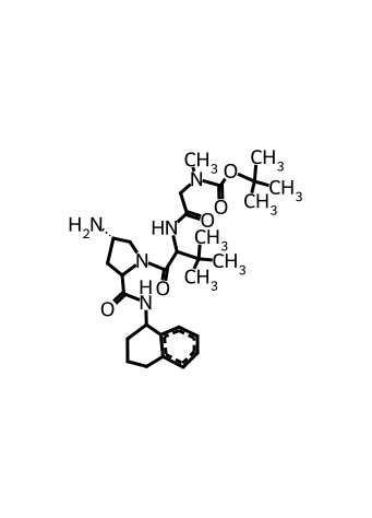 CN(CC(=O)NC(C(=O)N1C[C@@H](N)CC1C(=O)NC1CCCc2ccccc21)C(C)(C)C)C(=O)OC(C)(C)C